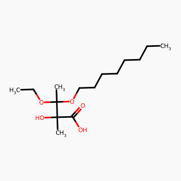 CCCCCCCCOC(C)(OCC)C(C)(O)C(=O)O